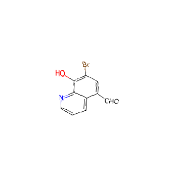 O=Cc1cc(Br)c(O)c2ncccc12